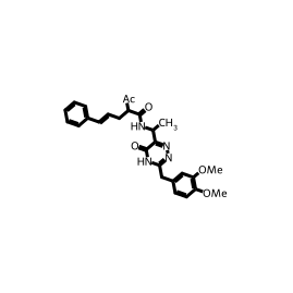 COc1ccc(Cc2nnc(C(C)NC(=O)C(C/C=C/c3ccccc3)C(C)=O)c(=O)[nH]2)cc1OC